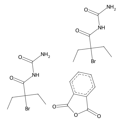 CCC(Br)(CC)C(=O)NC(N)=O.CCC(Br)(CC)C(=O)NC(N)=O.O=C1OC(=O)c2ccccc21